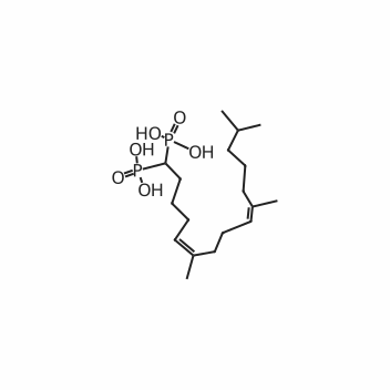 CC(=CCCCC(P(=O)(O)O)P(=O)(O)O)CCC=C(C)CCCC(C)C